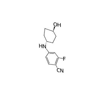 N#Cc1ccc(N[C@H]2CC[C@H](O)CC2)cc1F